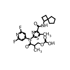 Cc1sc(N(C(=O)C(C)COC(=O)O)c2cc(F)nc(F)c2)nc1C(=O)NC1CCC12CCCC2